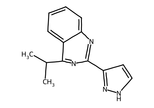 CC(C)c1nc(-c2cc[nH]n2)nc2ccccc12